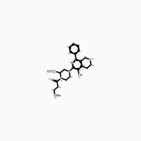 CCOC(=O)C1CN(c2nc(-c3ccccc3)c3c(c2C#N)CCOC3)CCN1C(=O)CCOC